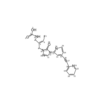 O=C(O)NCC(=CF)Cn1ncn(-c2cc(C#Cc3ccccn3)ccn2)c1=O